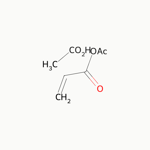 C=CC(=O)OC(C)=O.CC(=O)O